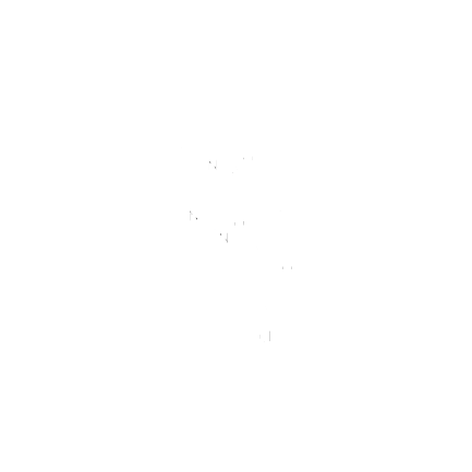 C/N=c1\sc([N+]2(C(=O)CCS(=O)(=O)C3=Cc4ccc(Cl)cc4OC3)CCCCC2)cn1C